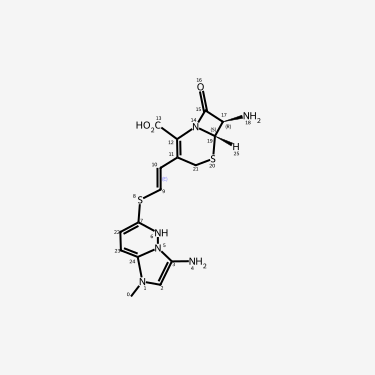 CN1C=C(N)N2NC(S/C=C/C3=C(C(=O)O)N4C(=O)[C@@H](N)[C@@H]4SC3)=CC=C12